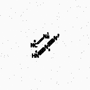 N#[C][Na].[N-]=[N+]=N